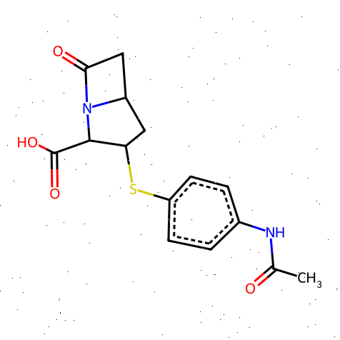 CC(=O)Nc1ccc(SC2CC3CC(=O)N3C2C(=O)O)cc1